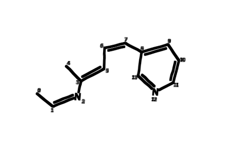 C\C=N/C(C)=C/C=C\c1cccnc1